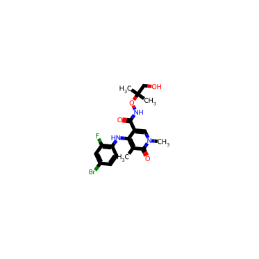 Cc1c(Nc2ccc(Br)cc2F)c(C(=O)NOC(C)(C)CO)cn(C)c1=O